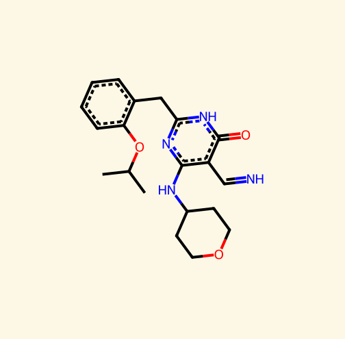 CC(C)Oc1ccccc1Cc1nc(NC2CCOCC2)c(C=N)c(=O)[nH]1